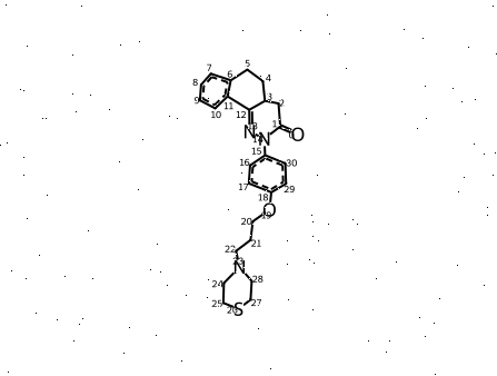 O=C1CC2CCc3ccccc3C2=NN1c1ccc(OCCCN2CCSCC2)cc1